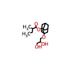 CCC(C)C(=O)OC12CC3CC(CC(OCC(O)CO)(C3)C1)C2